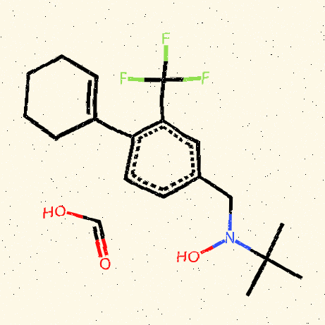 CC(C)(C)N(O)Cc1ccc(C2=CCCCC2)c(C(F)(F)F)c1.O=CO